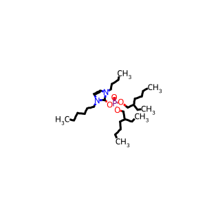 CCCCCCN1C=CN(CCCC)C1OP(=O)(OCC(CC)CCCC)OCC(CC)CCCC